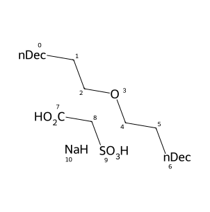 CCCCCCCCCCCCOCCCCCCCCCCCC.O=C(O)CS(=O)(=O)O.[NaH]